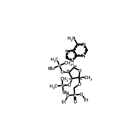 CCOP(=O)(CO[C@@]1(C)O[C@@H](n2cnc3c(N)ncnc32)[C@H](O[Si](C)(C)C(C)(C)C)[C@@H]1O[Si](C)(C)C(C)(C)C)OCC